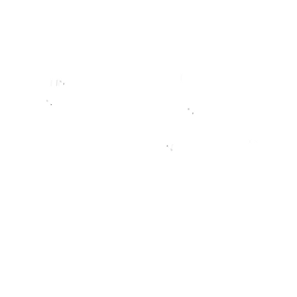 COc1ccccc1OCc1nc(O)c2cc(-c3cn[nH]c3C)ccc2n1